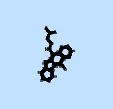 CN(C)CCNc1c2nc3ccccc3c-2n(C)c2ccccc12